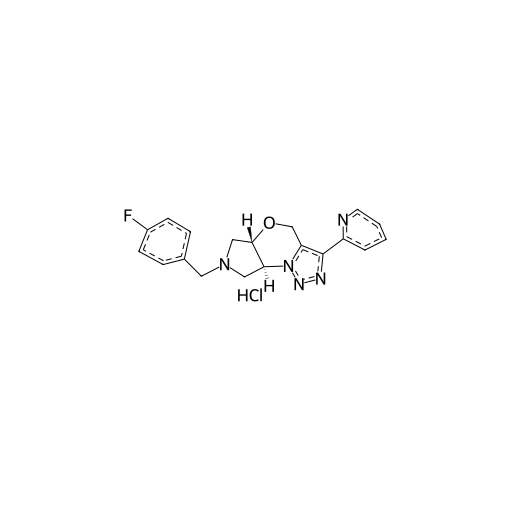 Cl.Fc1ccc(CN2C[C@@H]3OCc4c(-c5ccccn5)nnn4[C@H]3C2)cc1